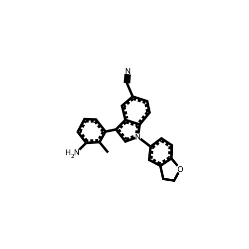 Cc1c(N)cccc1-c1cn(-c2ccc3c(c2)CCO3)c2ccc(C#N)cc12